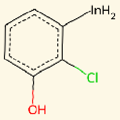 Oc1ccc[c]([InH2])c1Cl